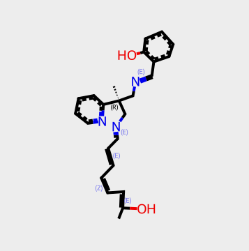 C\C(O)=C/C=C\C=C\C=N\C[C@](C)(C/N=C/c1ccccc1O)c1ccccn1